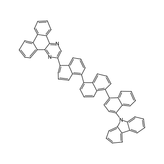 c1cc(-c2cccc3c(-c4ccc(-n5c6ccccc6c6ccccc65)c5ccccc45)cccc23)c2cccc(-c3cnc4c5ccccc5c5ccccc5c4n3)c2c1